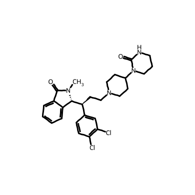 CN1C(=O)c2ccccc2[C@H]1[C@@H](CCN1CCC(N2CCCNC2=O)CC1)c1ccc(Cl)c(Cl)c1